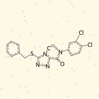 O=c1c2nnc(SCc3ccccc3)n2ccn1-c1ccc(Cl)c(Cl)c1